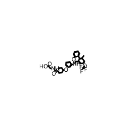 Cc1cc(OC(F)(F)F)cc(C(=O)Nc2cccc(OC3CCN(C(=O)NCC(=O)O)CC3)c2)c1-c1ccccc1